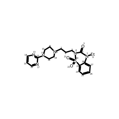 CCN1C(=O)N(CCCN2CCN(c3ncccn3)CC2)S(=O)(=O)c2ccccc21